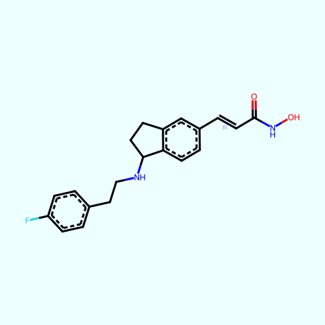 O=C(/C=C/c1ccc2c(c1)CCC2NCCc1ccc(F)cc1)NO